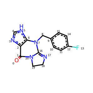 O=C1c2nc[nH]c2N(Cc2ccc(F)cc2)C2=NCCN12